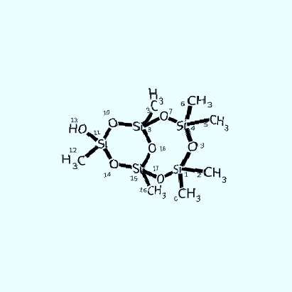 C[Si]1(C)O[Si](C)(C)O[Si]2(C)O[Si](C)(O)O[Si](C)(O1)O2